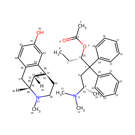 CC[C@H](OC(C)=O)C(C[C@H](C)N(C)C)(c1ccccc1)c1ccccc1.CN1CC[C@]23CCCC[C@H]2[C@H]1Cc1ccc(O)cc13